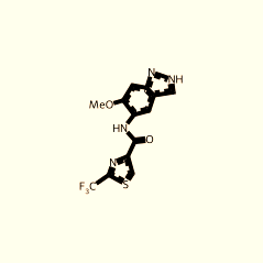 COc1cc2n[nH]cc2cc1NC(=O)c1csc(C(F)(F)F)n1